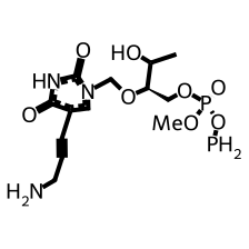 COP(=O)(OP)OC[C@@H](OCn1cc(C#CCN)c(=O)[nH]c1=O)C(C)O